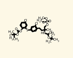 COP(=O)(OC)OCC(C)(CCc1ccc(Sc2cc(Cl)ccc2OC(=O)OC(C)(C)C)cc1Cl)NC(=O)OC(C)(C)C